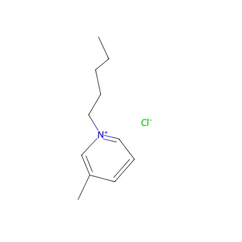 CCCCC[n+]1cccc(C)c1.[Cl-]